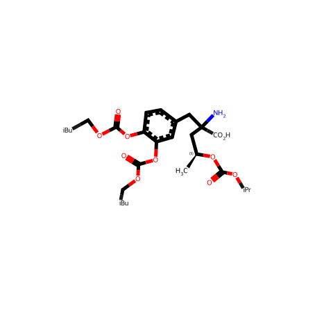 CCC(C)COC(=O)Oc1ccc(CC(N)(C[C@H](C)OC(=O)OC(C)C)C(=O)O)cc1OC(=O)OCC(C)CC